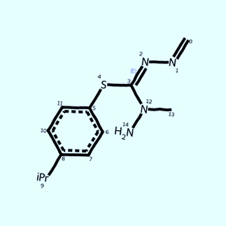 C=N/N=C(/Sc1ccc(C(C)C)cc1)N(C)N